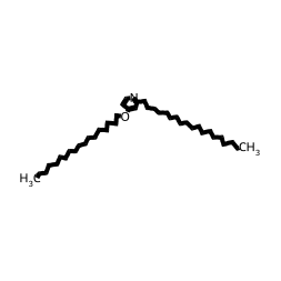 CCCCCCCCCCCCCCCCCCCc1cc(OCCCCCCCCCCCCCCCCCC)ccn1